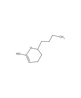 CCCCC1CCC=C(O)O1